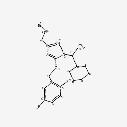 CCNCc1cc(OCc2cc(F)ccc2F)n(C(C)C2CCCCC2)n1